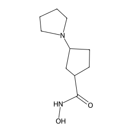 O=C(NO)C1CCC(N2CCCC2)C1